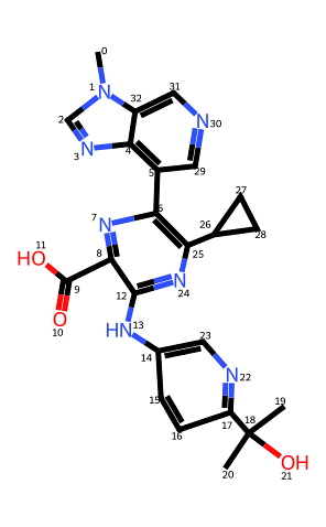 Cn1cnc2c(-c3nc(C(=O)O)c(Nc4ccc(C(C)(C)O)nc4)nc3C3CC3)cncc21